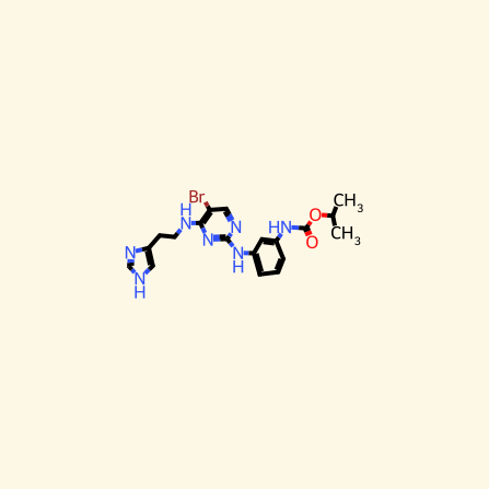 CC(C)OC(=O)Nc1cccc(Nc2ncc(Br)c(NCCc3c[nH]cn3)n2)c1